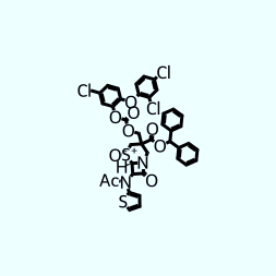 CC(=O)N(c1cccs1)C1C(=O)N2CC(COC(=O)Oc3cc(Cl)ccc3Oc3ccc(Cl)cc3Cl)(C(=O)OC(c3ccccc3)c3ccccc3)C[S+]([O-])[C@H]12